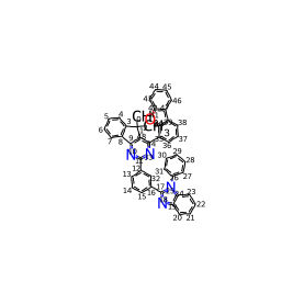 CC1(C)c2ccccc2-c2nc(-c3cccc(-c4nc5ccccc5n4-c4ccccc4)c3)nc(-c3cccc4c3oc3ccccc34)c21